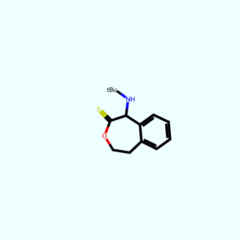 CC(C)(C)NC1C(=S)OCCc2ccccc21